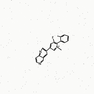 Cc1ccccc1-c1c(F)cc(-c2cnc3ccncc3c2)c[n+]1C